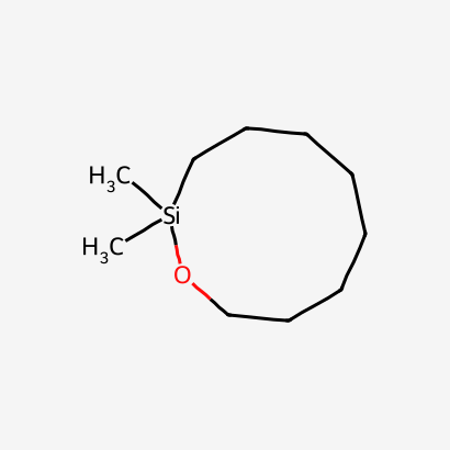 C[Si]1(C)CCCCCCCCO1